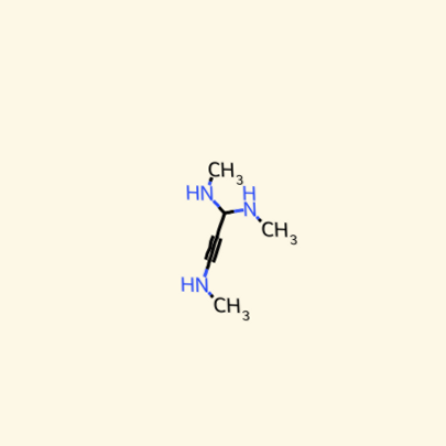 CNC#CC(NC)NC